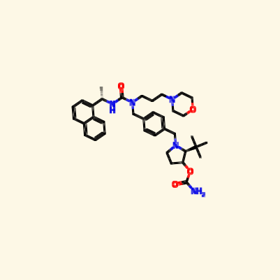 C[C@H](NC(=O)N(CCCN1CCOCC1)Cc1ccc(CN2CCC(OC(N)=O)[C@@H]2C(C)(C)C)cc1)c1cccc2ccccc12